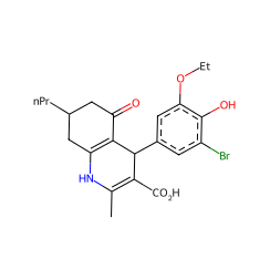 CCCC1CC(=O)C2=C(C1)NC(C)=C(C(=O)O)C2c1cc(Br)c(O)c(OCC)c1